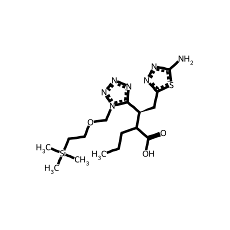 CCCC(C(=O)O)[C@H](Cc1nnc(N)s1)c1nnnn1COCC[Si](C)(C)C